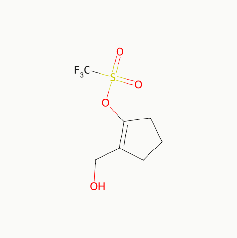 O=S(=O)(OC1=C(CO)CCC1)C(F)(F)F